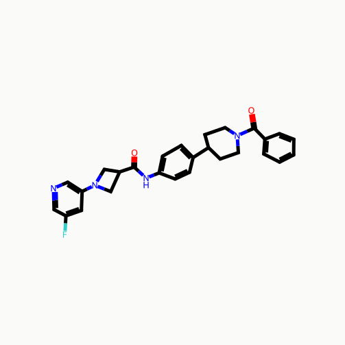 O=C(Nc1ccc(C2CCN(C(=O)c3ccccc3)CC2)cc1)C1CN(c2cncc(F)c2)C1